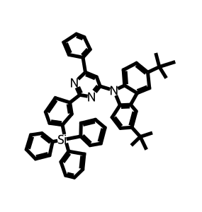 CC(C)(C)c1ccc2c(c1)c1cc(C(C)(C)C)ccc1n2-c1cc(-c2ccccc2)nc(-c2cccc([Si](c3ccccc3)(c3ccccc3)c3ccccc3)c2)n1